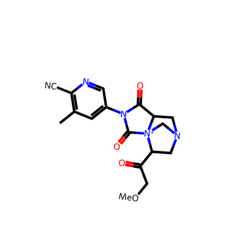 COCC(=O)C1CN2CC3C(=O)N(c4cnc(C#N)c(C)c4)C(=O)[N+]13C2